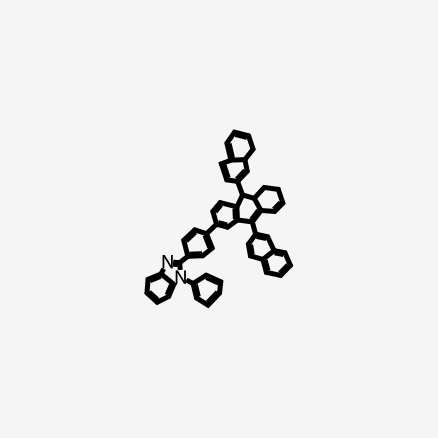 C1=CCC2C=C(C3c4ccc(-c5ccc(-c6nc7ccccc7n6-c6ccccc6)cc5)cc4C(c4ccc5ccccc5c4)=C4C=CCCC43)C=CC2=C1